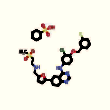 CS(=O)(=O)CCNCc1ccc(-c2ccc3ncnc(Nc4ccc(OCc5cccc(F)c5)c(Cl)c4)c3c2)o1.O=S(=O)(O)c1ccccc1